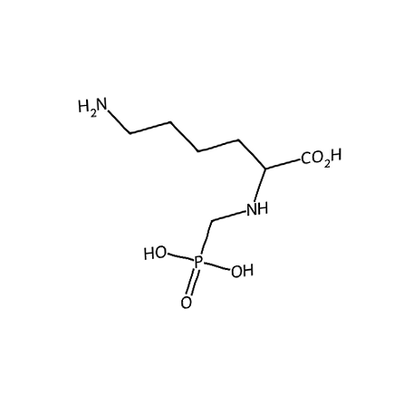 NCCCCC(NCP(=O)(O)O)C(=O)O